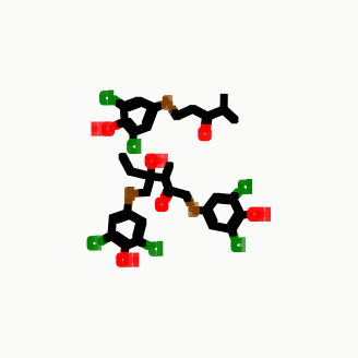 CC(C)C(=O)CCSc1cc(Cl)c(O)c(Cl)c1.CCC(O)(CSc1cc(Cl)c(O)c(Cl)c1)C(C)C(=O)CSc1cc(Cl)c(O)c(Cl)c1